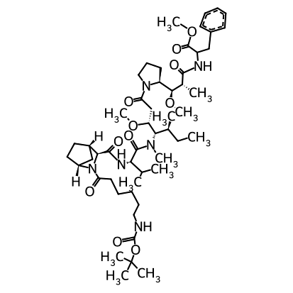 CC[C@H](C)[C@@H]([C@@H](CC(=O)N1CCC[C@H]1[C@H](OC)[C@@H](C)C(=O)NC(Cc1ccccc1)C(=O)OC)OC)N(C)C(=O)[C@@H](NC(=O)[C@@H]1[C@H]2CC[C@H](C2)N1C(=O)CCCCCNC(=O)OC(C)(C)C)C(C)C